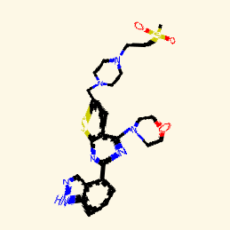 CS(=O)(=O)C[CH]N1CCN(Cc2cc3c(N4CCOCC4)nc(-c4cccc5[nH]ncc45)nc3s2)CC1